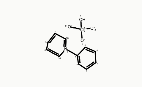 [O-][Cl+3]([O-])([O-])O.c1ccc(-[n+]2ccccc2)cc1